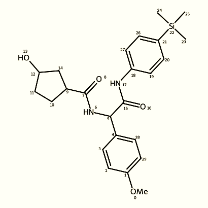 COc1ccc(C(NC(=O)C2CCC(O)C2)C(=O)Nc2ccc([Si](C)(C)C)cc2)cc1